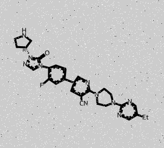 CCc1cnc(N2CCN(c3ncc(-c4ccc(-n5cnn([C@@H]6CCNC6)c5=O)c(F)c4)cc3C#N)CC2)nc1